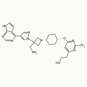 NCC1(n2cc(-c3ncnc4[nH]ccc34)cn2)CN([C@H]2CC[C@@H](Oc3cc(CCO)nc(C(F)(F)F)n3)CC2)C1